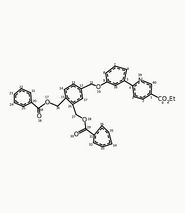 CCOC(=O)c1ccc(-c2cccc(OCc3ccc(COC(=O)c4ccccc4)c(COC(=O)c4ccccc4)c3)c2)nc1